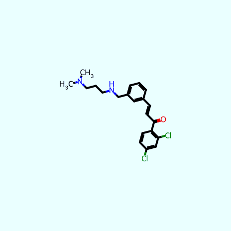 CN(C)CCCNCc1cccc(/C=C/C(=O)c2ccc(Cl)cc2Cl)c1